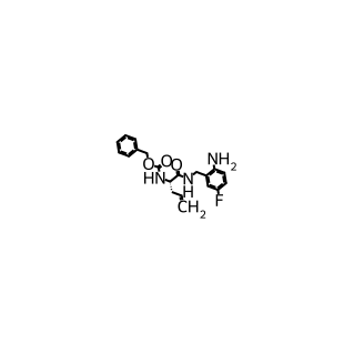 C=CC[C@H](NC(=O)OCc1ccccc1)C(=O)NCc1cc(F)ccc1N